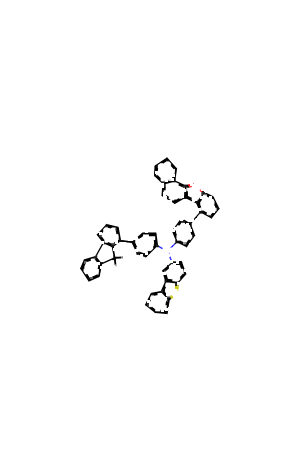 CC1(C)c2ccccc2-c2cccc(-c3ccc(N(c4ccc(-c5cccc6oc7c8ccccc8ccc7c56)cc4)c4ccc5sc6ccccc6c5c4)cc3)c21